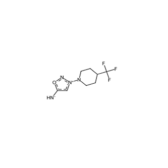 [NH-]c1c[n+](N2CCC(C(F)(F)F)CC2)no1